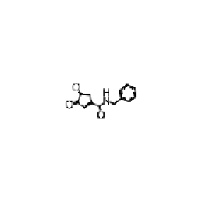 O=C1C=C(C(=O)NCc2ccccc2)CC1=O